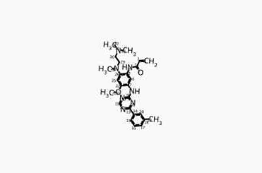 C=CC(=O)Nc1cc(Nc2ncnc(-c3cccc(C)c3)n2)c(OC)cc1N(C)CCN(C)C